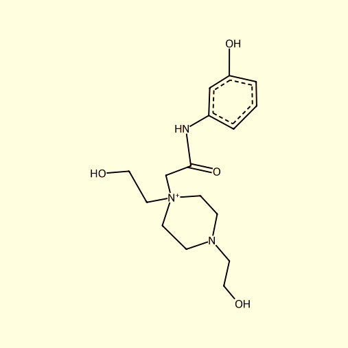 O=C(C[N+]1(CCO)CCN(CCO)CC1)Nc1cccc(O)c1